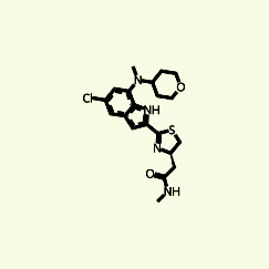 CNC(=O)C[C@@H]1CSC(c2cc3cc(Cl)cc(N(C)C4CCOCC4)c3[nH]2)=N1